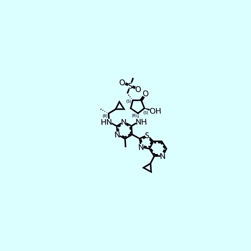 Cc1nc(N[C@H](C)C2CC2)nc(N[C@@H]2C[C@H](CS(C)(=O)=O)C(=O)[C@H]2O)c1-c1nc2c(C3CC3)nccc2s1